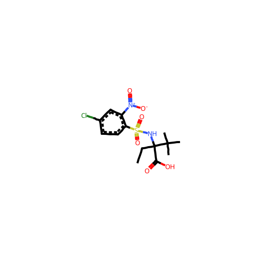 CCC(NS(=O)(=O)c1ccc(Cl)cc1[N+](=O)[O-])(C(=O)O)C(C)(C)C